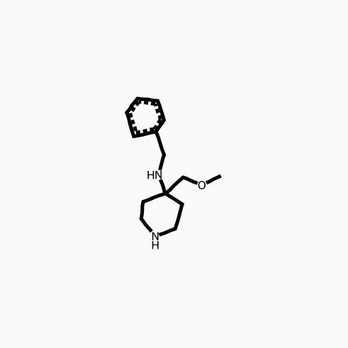 COCC1(NCc2ccccc2)CCNCC1